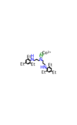 CCc1cc(CC)c(NCCCN(C)CCCNc2c(CC)cc(CC)cc2CC)c(CC)c1.[Cl-].[Cl-].[Co+2]